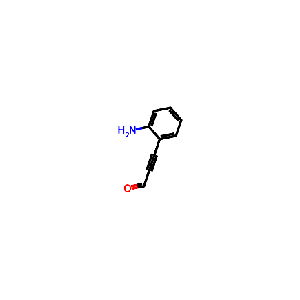 Nc1ccccc1C#CC=O